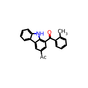 CC(=O)c1cc(C(=O)c2ccccc2C)c2[nH]c3ccccc3c2c1